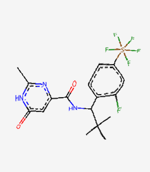 Cc1nc(C(=O)NC(c2ccc(S(F)(F)(F)(F)F)cc2F)C(C)(C)C)cc(=O)[nH]1